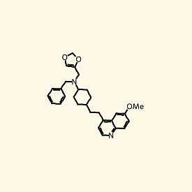 COc1ccc2nccc(CCC3CCC(N(CC4=COCO4)Cc4ccccc4)CC3)c2c1